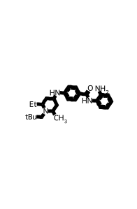 CCC1CC(Nc2ccc(C(=O)Nc3ccccc3N)cc2)CC(C)N1CC(C)(C)C